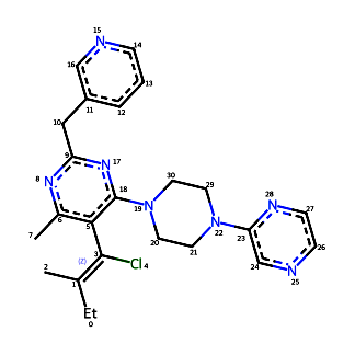 CC/C(C)=C(\Cl)c1c(C)nc(Cc2cccnc2)nc1N1CCN(c2cnccn2)CC1